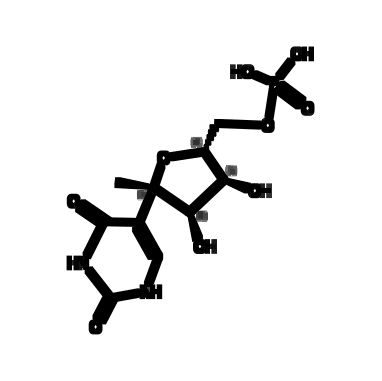 C[C@@]1(c2c[nH]c(=O)[nH]c2=O)O[C@H](COP(=O)(O)O)[C@@H](O)[C@H]1O